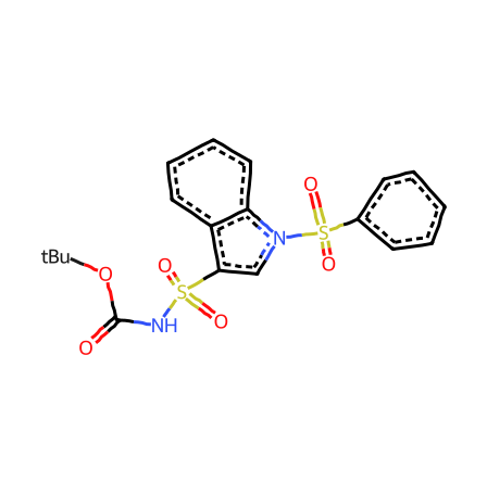 CC(C)(C)OC(=O)NS(=O)(=O)c1cn(S(=O)(=O)c2ccccc2)c2ccccc12